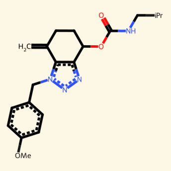 C=C1CCC(OC(=O)NCC(C)C)c2nnn(Cc3ccc(OC)cc3)c21